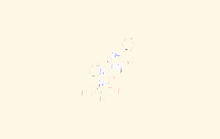 CNC(=O)C(=NOCc1cccc(N(C(=O)O)C(C)(C)C)n1)c1ccccc1